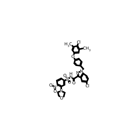 Cc1cc(Oc2ccc(Cn3nc(C(=O)NS(=O)(=O)c4ccc([N+](=O)[O-])c(N5CCOCC5)c4)c4cc(Cl)ccc43)cc2)cc(C)c1Cl